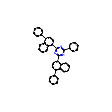 c1ccc(-c2nc(-c3ccc(-c4ccccc4)c4ccccc34)nc(-c3ccc(-c4ccccc4)c4ccccc34)n2)cc1